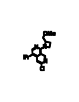 COCC1CCN1c1ncc(C(C)C)c2cc(Cl)ncc12